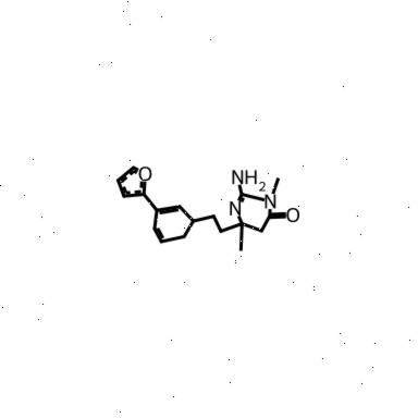 CN1C(=O)CC(C)(CCC2C=C(c3ccco3)C=CC2)N=C1N